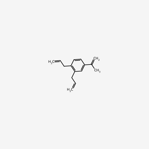 C=CCc1ccc(C(=C)C)cc1CC=C